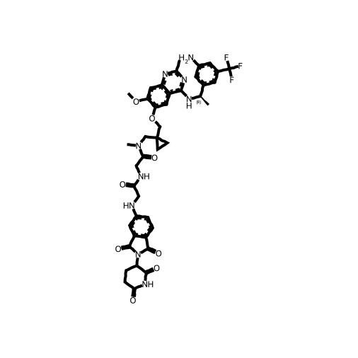 COc1cc2nc(C)nc(N[C@H](C)c3cc(N)cc(C(F)(F)F)c3)c2cc1OCC1(CN(C)C(=O)CNC(=O)CNc2ccc3c(c2)C(=O)N(C2CCC(=O)NC2=O)C3=O)CC1